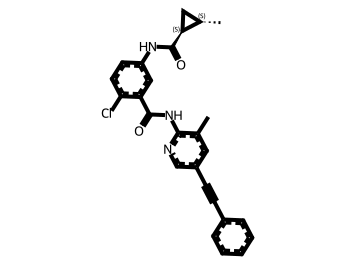 Cc1cc(C#Cc2ccccc2)cnc1NC(=O)c1cc(NC(=O)[C@H]2C[C@@H]2C)ccc1Cl